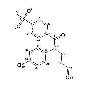 CS(=O)(=O)c1ccc(C(=O)C(CCC=O)c2ccc(Cl)cc2)cc1